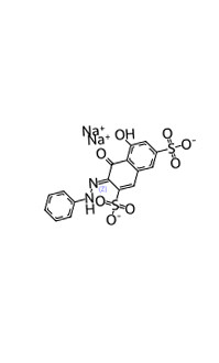 O=C1/C(=N/Nc2ccccc2)C(S(=O)(=O)[O-])=Cc2cc(S(=O)(=O)[O-])cc(O)c21.[Na+].[Na+]